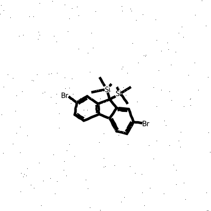 C[Si](C)(C)C1([Si](C)(C)C)c2cc(Br)ccc2-c2ccc(Br)cc21